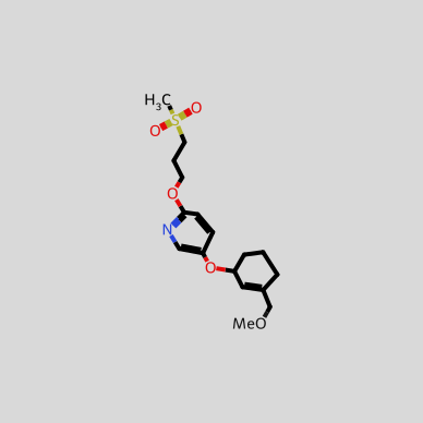 COCC1=CC(Oc2ccc(OCCCS(C)(=O)=O)nc2)CCC1